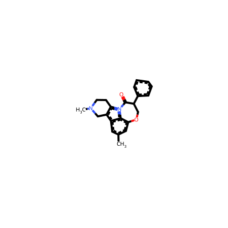 Cc1cc2c3c(c1)c1c(n3C(=O)C(c3ccccc3)CO2)CCN(C)C1